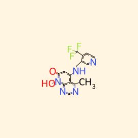 Cc1ncnc2c1c(NCc1cnccc1C(F)(F)F)cc(=O)n2O